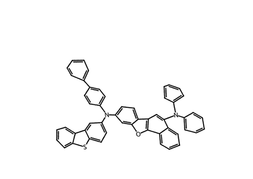 c1ccc(-c2ccc(N(c3ccc4c(c3)oc3c5ccccc5c(N(c5ccccc5)c5ccccc5)cc43)c3ccc4sc5ccccc5c4c3)cc2)cc1